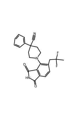 CC(F)(F)Cc1ccc2c(c1N1CCC(C#N)(c3ccccc3)CC1)C(=O)NC2=O